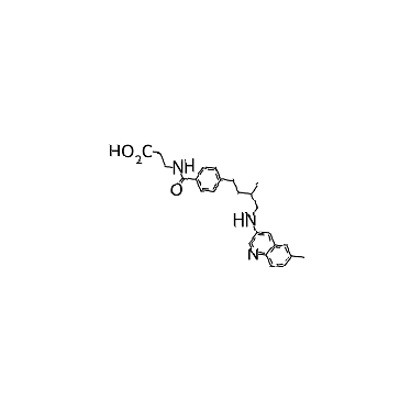 Cc1ccc2ncc(NCC(C)CCc3ccc(C(=O)NCCC(=O)O)cc3)cc2c1